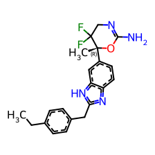 CCc1ccc(Cc2nc3ccc([C@@]4(C)OC(N)=NCC4(F)F)cc3[nH]2)cc1